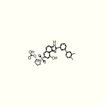 Cc1ccc(-c2cccc(-c3nc4c(ccc5cc(S(=O)(=O)N6CCC[C@@H]6OC(=O)O)cc(O)c54)[nH]3)c2)cc1C